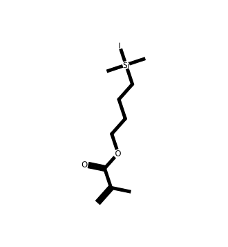 C=C(C)C(=O)OCCCC[Si](C)(C)I